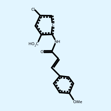 COc1ccc(C=CC(=O)Nc2ccc(Cl)cc2C(=O)O)cc1